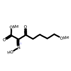 COCCCCC(=O)/C(=N/O)C(=O)OC